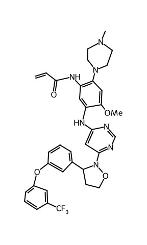 C=CC(=O)Nc1cc(Nc2cc(N3OCCC3c3cccc(Oc4cccc(C(F)(F)F)c4)c3)ncn2)c(OC)cc1N1CCN(C)CC1